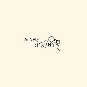 C=C(/C(Cl)=C\C=C/C)[C@]1(N(C)C(=O)OC(C)OC(=O)[C@H](C)NC(C)=O)CCCCC1=O